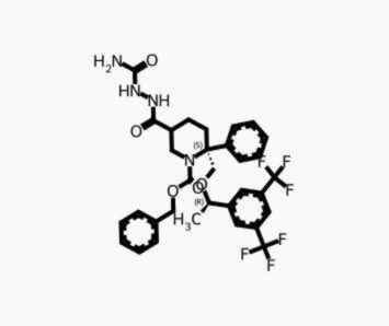 C[C@@H](OC[C@@]1(c2ccccc2)CCC(C(=O)NNC(N)=O)CN1C(=O)OCc1ccccc1)c1cc(C(F)(F)F)cc(C(F)(F)F)c1